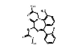 Cc1cccc2c1N(CC(=O)C(C)(C)C)C(=O)C(NC(=O)OC(C)(C)C)N=C2c1ccccc1F